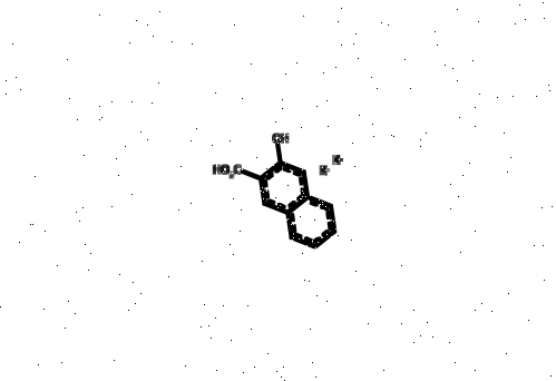 O=C(O)c1cc2ccccc2cc1O.[K].[K]